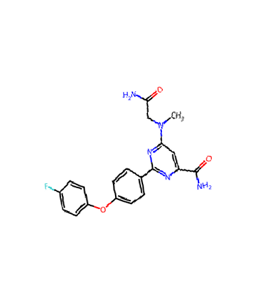 CN(CC(N)=O)c1cc(C(N)=O)nc(-c2ccc(Oc3ccc(F)cc3)cc2)n1